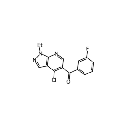 CCn1ncc2c(Cl)c(C(=O)c3cccc(F)c3)cnc21